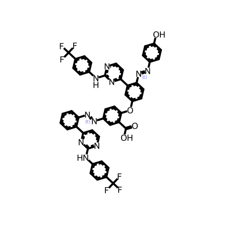 O=C(O)c1cc(/N=N/c2ccccc2-c2ccnc(Nc3ccc(C(F)(F)F)cc3)n2)ccc1Oc1ccc(/N=N/c2ccc(O)cc2)c(-c2ccnc(Nc3ccc(C(F)(F)F)cc3)n2)c1